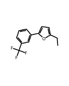 CCc1ccc(-c2cccc(C(F)(F)F)c2)o1